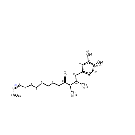 CCCCCCCC/C=C\CCCCCCCC(=O)N(C)C(C)Cc1ccc(O)c(O)c1